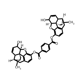 CN1CC[C@]23c4c5ccc(OC(=O)c6ccc(C(=O)Oc7ccc8c9c7O[C@H]7C(O)C=CC%10[C@@H](C8)N(C)CC[C@@]9%107)cc6)c4O[C@H]2C(O)C=CC3[C@H]1C5